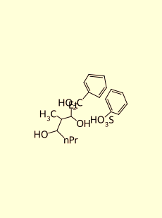 CCCC(O)C(C)C(O)CC.O=C(O)c1ccccc1.O=S(=O)(O)c1ccccc1